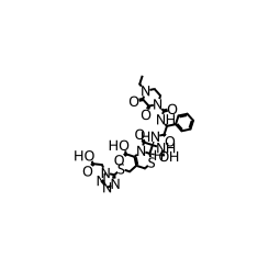 CCN1CCN(C(=O)NC(C(=O)N[C@]2(NO)C(=O)N3C(C(=O)O)=C(CSc4nnnn4CC(=O)O)CS[C@H]32)c2ccccc2)C(=O)C1=O